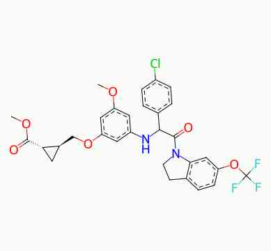 COC(=O)[C@H]1C[C@@H]1COc1cc(NC(C(=O)N2CCc3ccc(OC(F)(F)F)cc32)c2ccc(Cl)cc2)cc(OC)c1